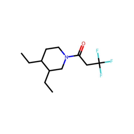 CCC1CCN(C(=O)CC(F)(F)F)CC1CC